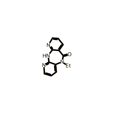 CCN1C(=O)c2cccnc2Nc2ncccc21